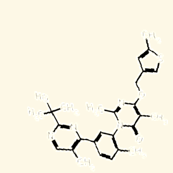 Cc1cc(COc2nc(C)n(-c3cc(-c4nc(C(C)(C)O)ncc4C)ccc3C)c(=O)c2C)cs1